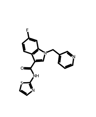 O=C(Nc1nccs1)c1cn(Cc2cccnc2)c2cc(F)ccc12